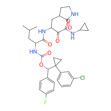 CC(C)CC(NC(=O)OC(c1ccc(F)cc1)C1(c2cccc(Cl)c2)CC1)C(=O)NC(CC1CCNC1=O)C(=O)C(=O)NC1CC1